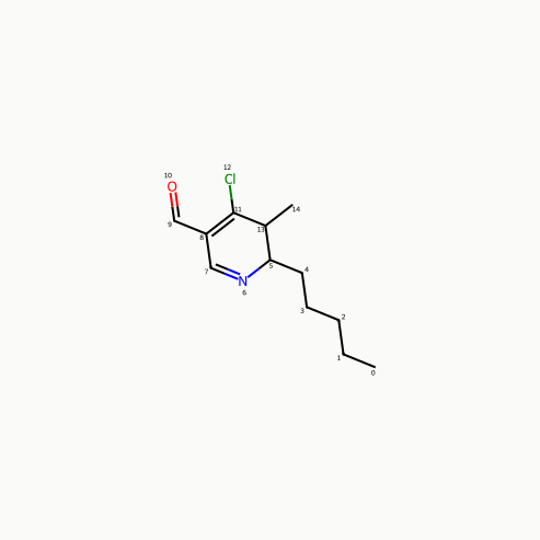 CCCCCC1N=CC(C=O)=C(Cl)C1C